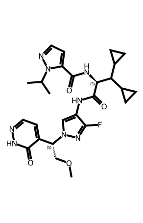 COC[C@H](c1ccn[nH]c1=O)n1cc(NC(=O)[C@@H](NC(=O)c2ccnn2C(C)C)C(C2CC2)C2CC2)c(F)n1